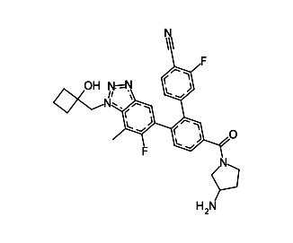 Cc1c(F)c(-c2ccc(C(=O)N3CCC(N)C3)cc2-c2ccc(C#N)c(F)c2)cc2nnn(CC3(O)CCC3)c12